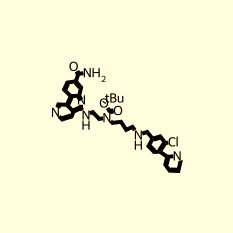 CC(C)(C)OC(=O)N(CCCCNCc1ccc(-c2ccccn2)c(Cl)c1)CCNc1nc2cc(C(N)=O)ccc2c2cnccc12